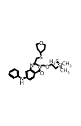 C[Si](C)(C)CCOCn1c(CSC2CCOCC2)nc2cc(Nc3ccccc3)ccc2c1=O